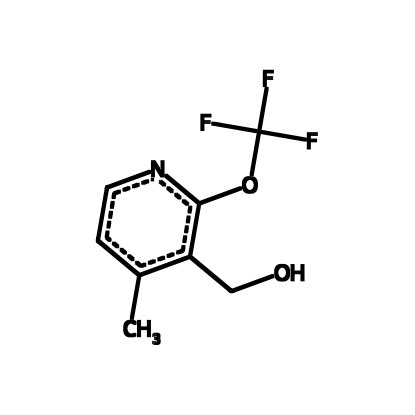 Cc1ccnc(OC(F)(F)F)c1CO